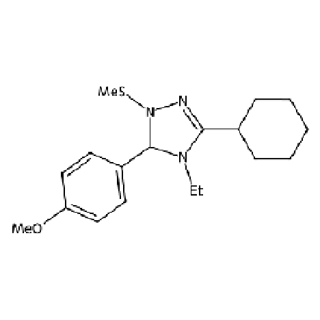 CCN1C(C2CCCCC2)=NN(SC)C1c1ccc(OC)cc1